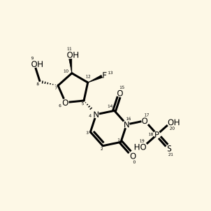 O=c1ccn([C@@H]2O[C@H](CO)[C@@H](O)[C@H]2F)c(=O)n1OP(O)(O)=S